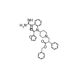 N=C(N)Nc1ccccc1N(C(=O)c1ccco1)C1CCN(CC(C(=O)OCc2ccccc2)c2ccccc2)CC1